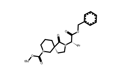 CC(C)[C@@H](C(=O)OCc1ccccc1)N1CC[C@]2(CCCN(C(=O)OC(C)(C)C)C2)C1=O